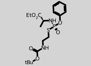 CCOC(=O)[C@H](C)N[P@@](=O)(Oc1ccccc1)SCCNC(=O)OC(C)(C)C